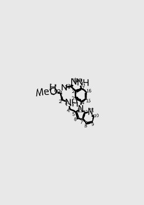 COCCNCc1cc2[c]ccnc2n1-c1ccc2[nH]nc(N)c2c1